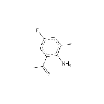 C=C(C)c1cc(F)cc(C)c1N